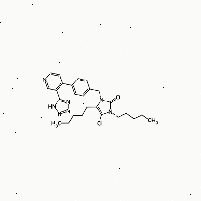 CCCCCc1c(Cl)n(CCCCC)c(=O)n1Cc1ccc(-c2ccncc2-c2nnn[nH]2)cc1